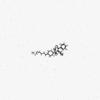 CCCCCC1CCC(S(=O)(=O)C(=[N+]=[N-])C(=O)c2ccccc2)CC1